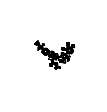 CC(C)OC(=O)[C@H](C)NP(=O)(OC[C@H]1O[C@@H](n2ccc(=O)[nH]c2=O)[C@](C)(F)[C@@H]1O)Oc1ccc(C(F)(F)C2CC2)cc1